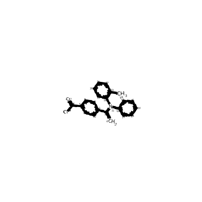 C=C(c1ccc(C(=O)Cl)cc1)N(c1ccccc1)c1ccccc1C